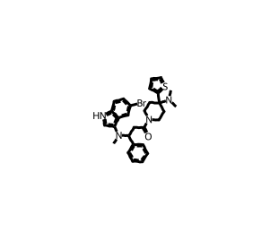 CN(c1c[nH]c2ccc(Br)cc12)C(CC(=O)N1CCC(c2cccs2)(N(C)C)CC1)c1ccccc1